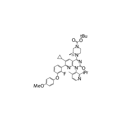 COc1ccc(Oc2cccc(-c3nc4c(cc3C3CC3)c(N3CCN(C(=O)OC(C)(C)C)C[C@@H]3C)nc(=O)n4-c3c(C)ccnc3C(C)C)c2F)cc1